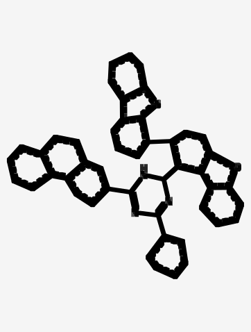 c1ccc(C2=NC(c3c(-c4cccc5c4sc4ccccc45)ccc4oc5ccccc5c34)NC(c3ccc4c(ccc5ccccc54)c3)=N2)cc1